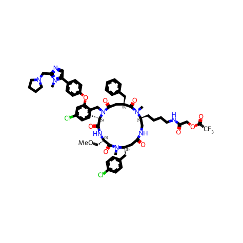 COC[C@@H]1NC(=O)[C@H](C)N(Cc2ccc(Cl)cc2Oc2ccc(-c3cnc(CN4CCCC4)n3C)cc2)C(=O)C[C@@H](Cc2ccccc2)C(=O)N(C)[C@@H](CCCCNC(=O)COC(=O)C(F)(F)F)CNC(=O)C[C@H](Cc2ccc(Cl)cc2)N(C)C1=O